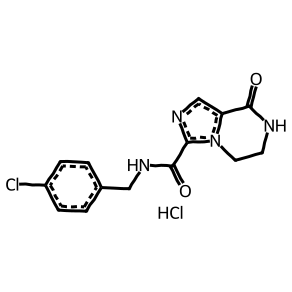 Cl.O=C1NCCn2c1cnc2C(=O)NCc1ccc(Cl)cc1